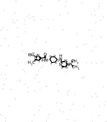 Cc1cc(C(=O)N[C@H]2CC[C@@H](Nc3nccc(N(C)C)n3)CC2)nn1C(C)(C)C